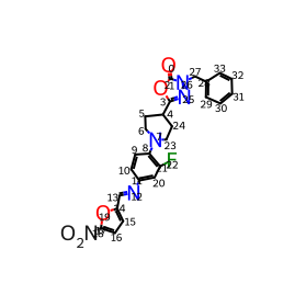 O=c1oc(C2CCN(c3ccc(N=Cc4ccc([N+](=O)[O-])o4)cc3F)CC2)nn1Cc1ccccc1